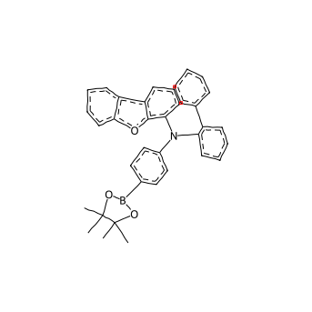 CC1(C)OB(c2ccc(N(c3ccccc3-c3ccccc3)c3cccc4c3oc3ccccc34)cc2)OC1(C)C